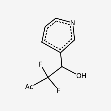 CC(=O)C(F)(F)C(O)c1cccnc1